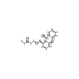 CCNCCOSc1cccc2oc3ccccc3c(=O)c12